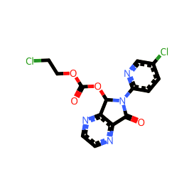 O=C(OCCCl)OC1c2nccnc2C(=O)N1c1ccc(Cl)cn1